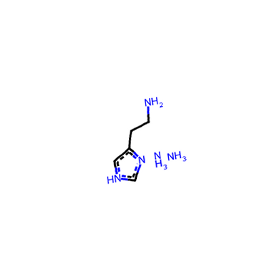 N.N.NCCc1c[nH]cn1